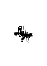 CCCCCC(=O)NC(CSSCC(NC(=O)CCCCC)C(=O)NCCc1ccccc1)C(=O)NCCc1ccccc1